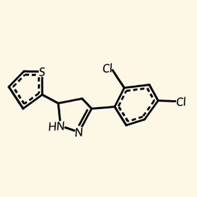 Clc1ccc(C2=NNC(c3cccs3)C2)c(Cl)c1